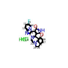 Cl.Cl.O=C1NC(=O)C(c2cnc3ccc(F)cn23)=C1C1=NC=CN2CCc3cccc1c32